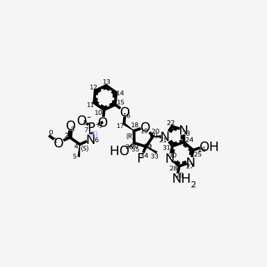 COC(=O)[C@H](C)/N=[P+](\[O-])Oc1ccccc1OC[C@H]1O[C@@H](n2cnc3c(O)nc(N)nc32)[C@](C)(F)[C@@H]1O